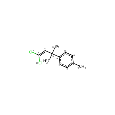 Cc1ccc(C(C)(C=C(Cl)Cl)C(C)C)cc1